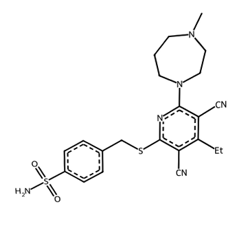 CCc1c(C#N)c(SCc2ccc(S(N)(=O)=O)cc2)nc(N2CCCN(C)CC2)c1C#N